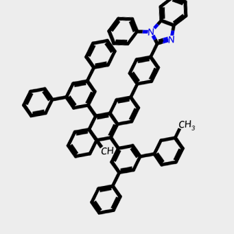 CC1C=CC=C(c2cc(C3=c4ccc(-c5ccc(-c6nc7ccccc7n6-c6ccccc6)cc5)cc4=C(c4cc(-c5ccccc5)cc(-c5ccccc5)c4)C4=CC=CCC43C)cc(-c3ccccc3)c2)C1